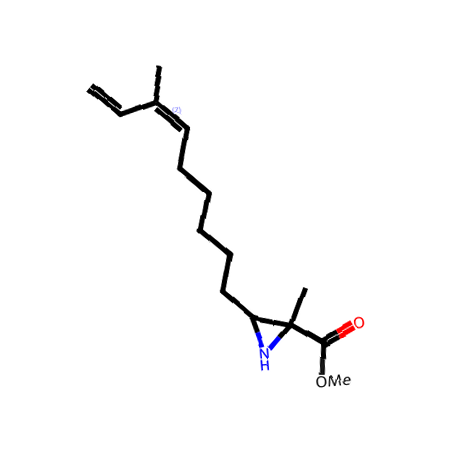 C=C/C(C)=C\CCCCCC1NC1(C)C(=O)OC